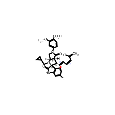 C=C(Cl)/C=C\C=C(/F)[C@H]1[C@@H]2C(=O)N(c3ccc(C(=O)O)c(OC(F)(F)F)c3)C[C@@H]2N(CC2CC2)[C@@]12C(=O)Nc1cc(Cl)ccc12